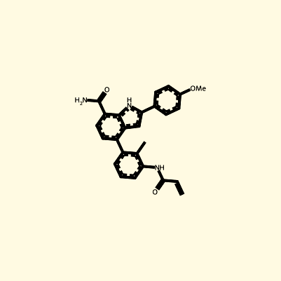 C=CC(=O)Nc1cccc(-c2ccc(C(N)=O)c3[nH]c(-c4ccc(OC)cc4)cc23)c1C